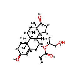 C=CC(=O)OC(C)CO.C[C@]12CCC(=O)C=C1CC[C@@H]1[C@@H]2CC[C@]2(C)C(=O)CC[C@@H]12